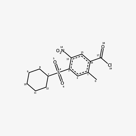 Cc1cc(S(=O)(=O)C2CCCCC2)c([N+](=O)[O-])cc1C(=O)Cl